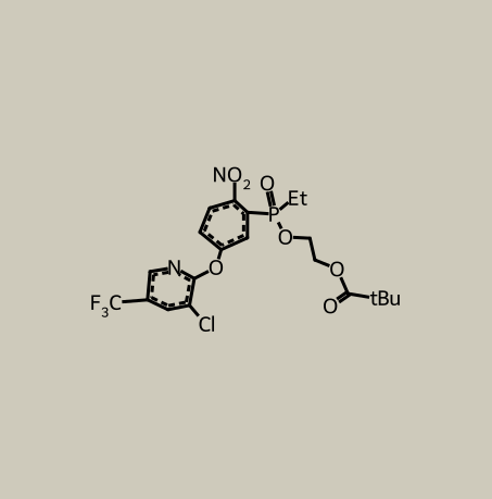 CCP(=O)(OCCOC(=O)C(C)(C)C)c1cc(Oc2ncc(C(F)(F)F)cc2Cl)ccc1[N+](=O)[O-]